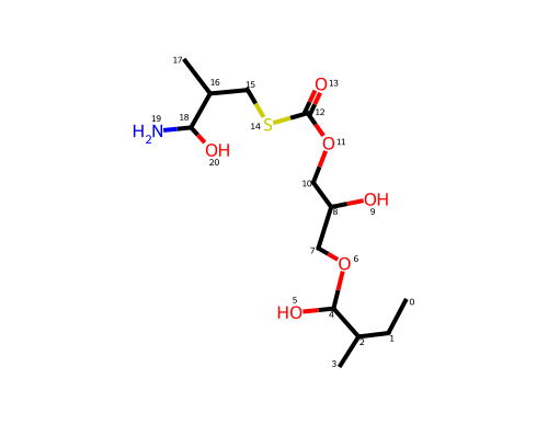 CCC(C)C(O)OCC(O)COC(=O)SCC(C)C(N)O